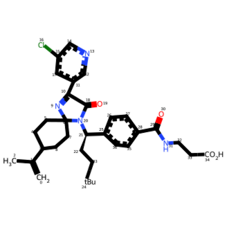 C=C(C)C1CCC2(CC1)N=C(c1cncc(Cl)c1)C(=O)N2[C@H](CCC(C)(C)C)c1ccc(C(=O)NCCC(=O)O)cc1